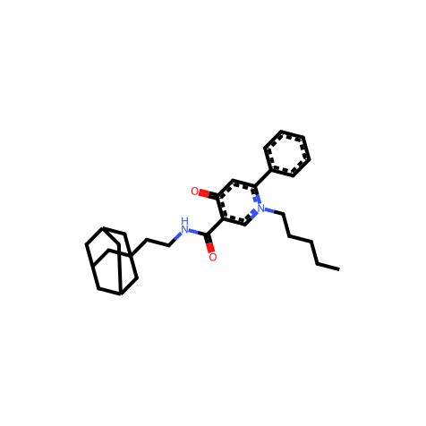 CCCCCn1cc(C(=O)NCCC23CC4CC(CC(C4)C2)C3)c(=O)cc1-c1ccccc1